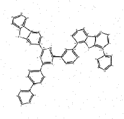 c1ccc(-c2ccc(-c3nc(-c4cccc(-c5cccc6c5sc5c(-c7ccccc7)cccc56)c4)nc(-c4ccc5c(c4)oc4ccccc45)n3)cc2)cc1